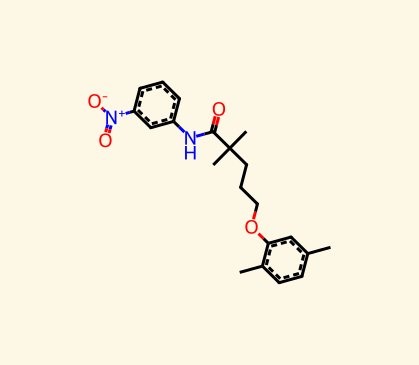 Cc1ccc(C)c(OCCCC(C)(C)C(=O)Nc2cccc([N+](=O)[O-])c2)c1